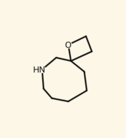 C1CCNCC2(CC1)CCO2